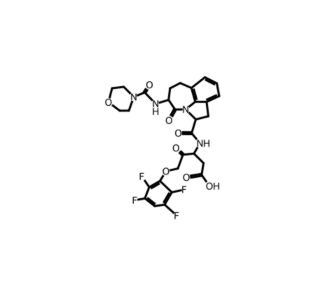 O=C(O)CC(NC(=O)C1Cc2cccc3c2N1C(=O)C(NC(=O)N1CCOCC1)CC3)C(=O)COc1c(F)c(F)cc(F)c1F